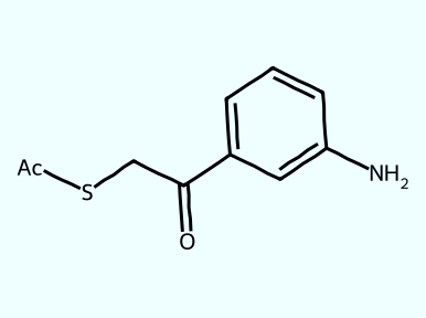 CC(=O)SCC(=O)c1cccc(N)c1